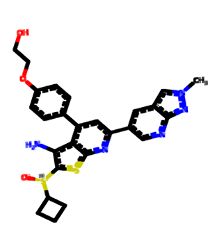 Cn1cc2cc(-c3cc(-c4ccc(OCCO)cc4)c4c(N)c([S@+]([O-])C5CCC5)sc4n3)cnc2n1